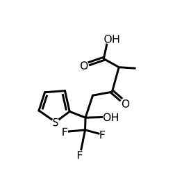 CC(C(=O)O)C(=O)CC(O)(c1cccs1)C(F)(F)F